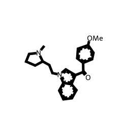 COc1ccc(C(=O)c2cn(CCC3CCCN3C)c3ccccc23)cc1